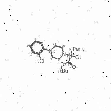 CCCC(C)[N+]([O-])(C(=O)OC(C)(C)C)N1CCN(c2ccccc2Cl)CC1